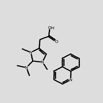 CN(C)C1N(C)C=C(CC(=O)O)N1C.c1ccc2ncccc2c1